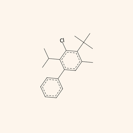 Cc1cc(-c2ccccc2)c(C(C)C)c(Cl)c1C(C)(C)C